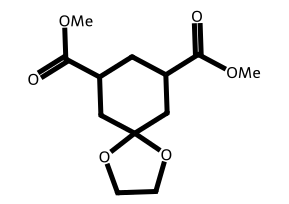 COC(=O)C1CC(C(=O)OC)CC2(C1)OCCO2